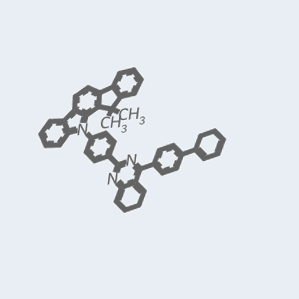 CC1(C)c2ccccc2-c2ccc3c4ccccc4n(-c4ccc(-c5nc(-c6ccc(C7=CC=CCC7)cc6)c6c(n5)=CCCC=6)cc4)c3c21